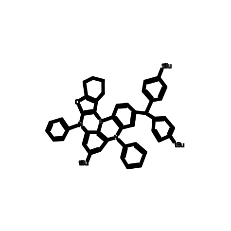 CC(C)(C)c1ccc(C(c2ccc(C(C)(C)C)cc2)c2ccc3c(c2)N(c2ccccc2)c2cc(C(C)(C)C)cc4c2B3c2c(oc3c2CCCC3)N4c2ccccc2)cc1